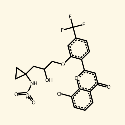 O=c1cc(-c2ccc(C(F)(F)F)cc2OCC(O)CC2(N[SH](=O)=O)CC2)oc2c(Cl)cccc12